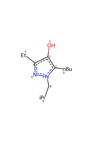 CCCCc1c(O)c(CC)nn1CC(C)C